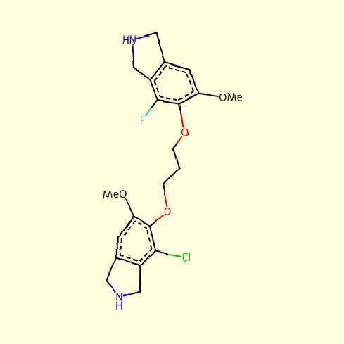 COc1cc2c(c(F)c1OCCCOc1c(OC)cc3c(c1Cl)CNC3)CNC2